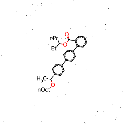 CCCCCCCCOC(C)c1ccc(-c2ccc(-c3ccccc3C(=O)OC(CC)CCC)cc2)cc1